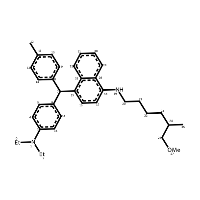 CCN(CC)c1ccc(C(c2ccc(C)cc2)c2ccc(NCCCCC(C)COC)c3ccccc23)cc1